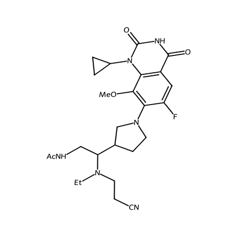 CCN(CCC#N)C(CNC(C)=O)C1CCN(c2c(F)cc3c(=O)[nH]c(=O)n(C4CC4)c3c2OC)C1